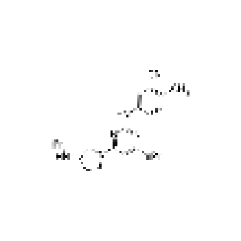 CCCc1cc(N2CCC(NC(C)C)C2)nc(Nc2ccc(C)c(C#N)c2)n1